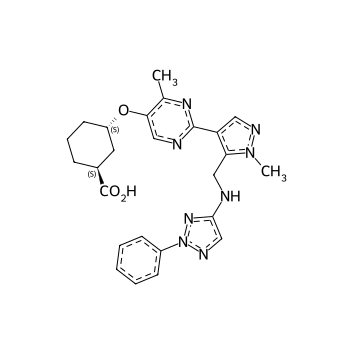 Cc1nc(-c2cnn(C)c2CNc2cnn(-c3ccccc3)n2)ncc1O[C@H]1CCC[C@H](C(=O)O)C1